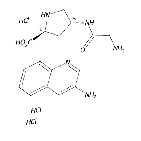 Cl.Cl.Cl.NCC(=O)N[C@H]1CN[C@H](C(=O)O)C1.Nc1cnc2ccccc2c1